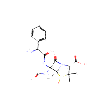 CC1(C)[C@H](C(=O)O)N2C(=O)[C@@](NC=O)(NC(=O)C(N)c3ccccc3)[C@H]2[S+]1[O-]